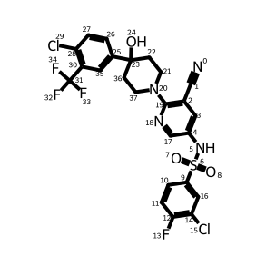 N#Cc1cc(NS(=O)(=O)c2ccc(F)c(Cl)c2)cnc1N1CCC(O)(c2ccc(Cl)c(C(F)(F)F)c2)CC1